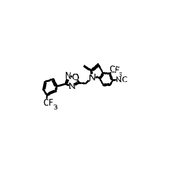 [C-]#[N+]c1ccc2c(cc(C)n2Cc2nc(-c3cccc(C(F)(F)F)c3)no2)c1C(F)(F)F